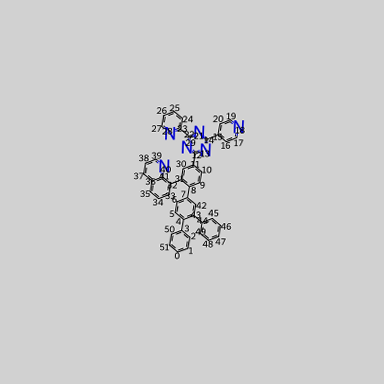 c1ccc(-c2ccc(-c3ccc(-c4nc(-c5ccncc5)nc(-c5ccccn5)n4)cc3-c3cccc4cccnc34)cc2-c2ccccc2)cc1